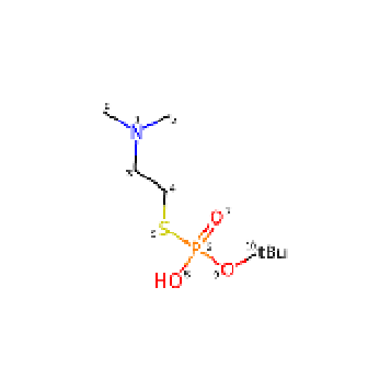 CN(C)CCSP(=O)(O)OC(C)(C)C